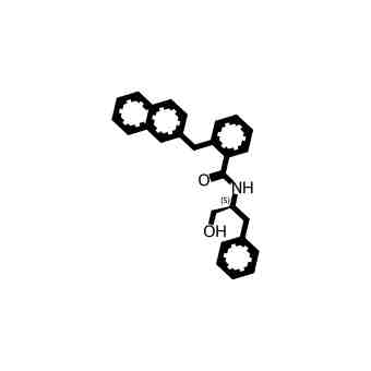 O=C(N[C@H](CO)Cc1ccccc1)c1ccccc1Cc1ccc2ccccc2c1